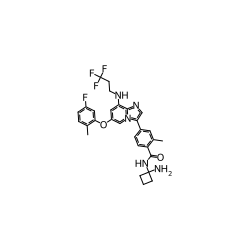 Cc1ccc(F)cc1Oc1cc(NCCC(F)(F)F)c2ncc(-c3ccc(C(=O)NC4(N)CCC4)c(C)c3)n2c1